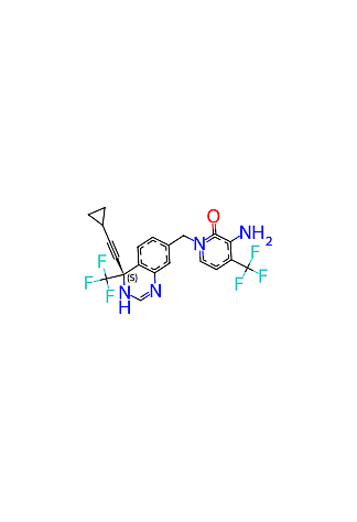 Nc1c(C(F)(F)F)ccn(Cc2ccc3c(c2)N=CN[C@]3(C#CC2CC2)C(F)(F)F)c1=O